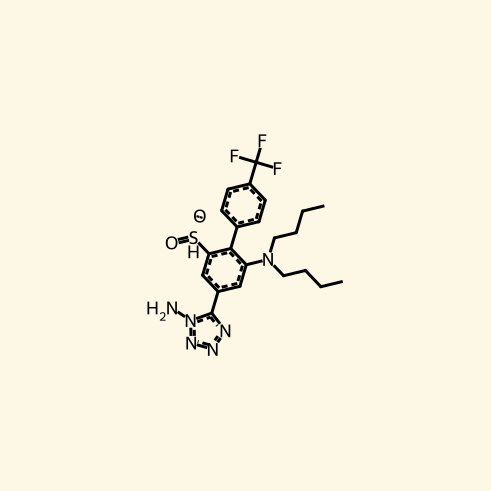 CCCCN(CCCC)c1cc(-c2nnnn2N)cc([SH](=O)=O)c1-c1ccc(C(F)(F)F)cc1